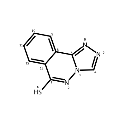 Sc1nn2cnnc2c2ccccc12